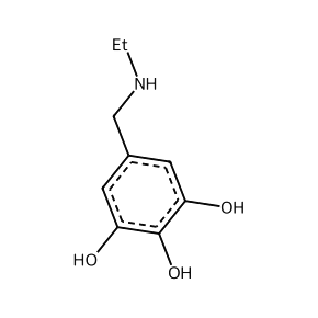 CCNCc1cc(O)c(O)c(O)c1